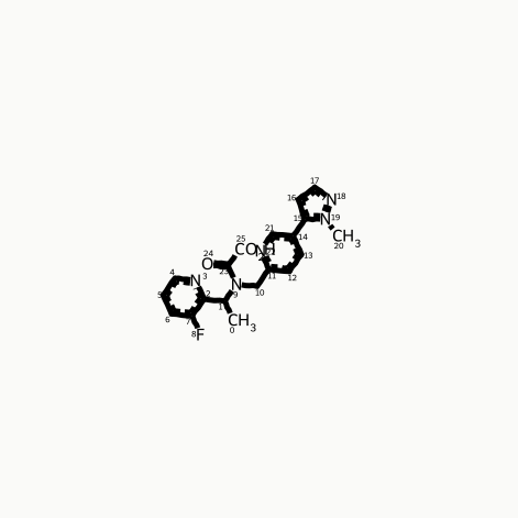 CC(c1ncccc1F)N(Cc1ccc(-c2ccnn2C)cn1)C(=O)C(=O)O